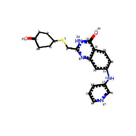 O=C1CCC(SCc2nc3cc(Nc4cccnc4)ccc3c(=O)[nH]2)CC1